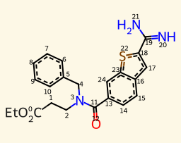 CCOC(=O)CCN(Cc1ccccc1)C(=O)c1ccc2cc(C(=N)N)sc2c1